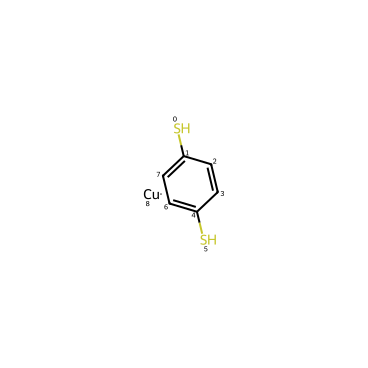 Sc1ccc(S)cc1.[Cu]